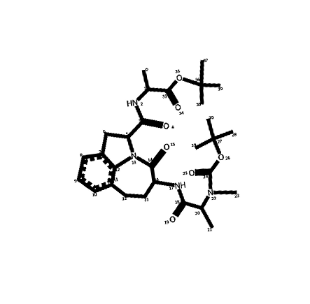 CC(NC(=O)C1Cc2cccc3c2N1C(=O)C(NC(=O)C(C)N(C)C(=O)OC(C)(C)C)CC3)C(=O)OC(C)(C)C